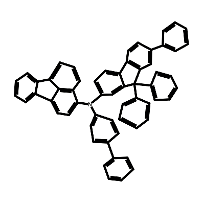 c1ccc(-c2ccc(N(c3ccc4c(c3)C(c3ccccc3)(c3ccccc3)c3cc(-c5ccccc5)ccc3-4)c3ccc4c5c(cccc35)-c3ccccc3-4)cc2)cc1